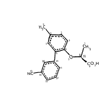 Cc1ccc(O[C@@H](C)C(=O)O)c(-c2cccc(C#N)c2)c1